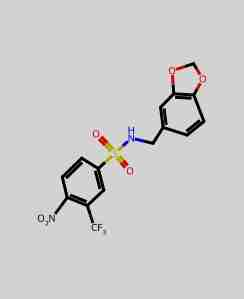 O=[N+]([O-])c1ccc(S(=O)(=O)NCc2ccc3c(c2)OCO3)cc1C(F)(F)F